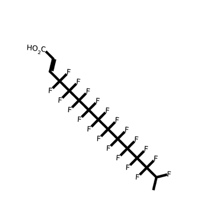 CC(F)C(F)(F)C(F)(F)C(F)(F)C(F)(F)C(F)(F)C(F)(F)C(F)(F)C(F)(F)C(F)(F)C(F)(F)C=CC(=O)O